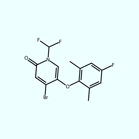 Cc1cc(F)cc(C)c1Oc1cn(C(F)F)c(=O)cc1Br